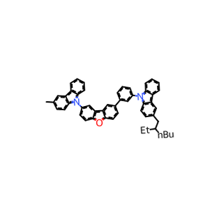 CCCCC(CC)Cc1ccc2c(c1)c1ccccc1n2-c1cccc(-c2ccc3oc4ccc(-n5c6ccccc6c6cc(C)ccc65)cc4c3c2)c1